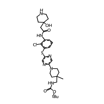 CC1(CNC(=O)OC(C)(C)C)CCN(c2cnc(Sc3cccc(NC(=O)CC4(O)CCNCC4)c3Cl)cn2)CC1